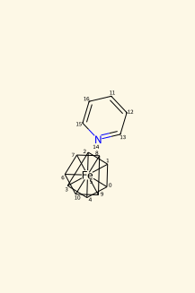 [CH]12[CH]3[CH]4[CH]5[CH]1[Fe]23451678[CH]2[CH]1[CH]6[CH]7[CH]28.c1ccncc1